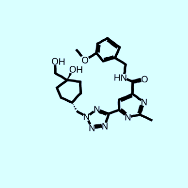 COc1cccc(CNC(=O)c2cc(-c3nnn(C[C@H]4CC[C@@](O)(CO)CC4)n3)nc(C)n2)c1